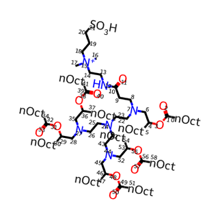 CCCCCCCCC(=O)OC(CCCCCCCC)CN(CCC(=O)NCC[N+](C)(C)CCCS(=O)(=O)O)CCN(CCN(CC(CCCCCCCC)OC(=O)CCCCCCCC)CC(CCCCCCCC)OC(=O)CCCCCCCC)CCN(CC(CCCCCCCC)OC(=O)CCCCCCCC)CC(CCCCCCCC)OC(=O)CCCCCCCC